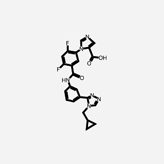 O=C(Nc1cccc(-c2nncn2CC2CC2)c1)c1cc(-n2cncc2C(=O)O)c(F)cc1F